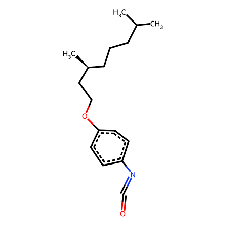 CC(C)CCC[C@H](C)CCOc1ccc(N=C=O)cc1